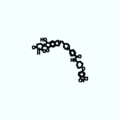 N#Cc1ccc(O[C@H]2CC[C@H](NC(=O)c3ccc(N4CCC(CN5Cc6cc7c(cc6C5)C(O)N(C5CCC(=O)NC5=O)C7=O)CC4)cc3)CC2)cc1Cl